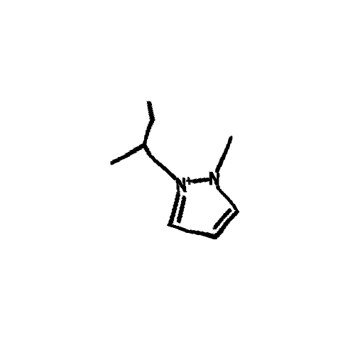 CC(C)[n+]1cccn1C